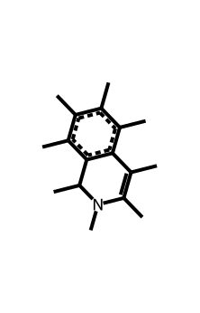 CC1=C(C)N(C)C(C)c2c(C)c(C)c(C)c(C)c21